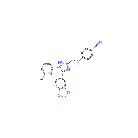 CCc1cccc(-c2[nH]c(CNc3ccc(C#N)cc3)nc2-c2ccc3c(c2)OCO3)n1